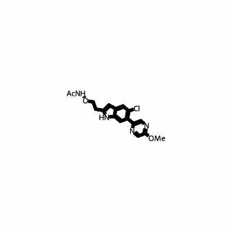 COc1cnc(-c2cc3[nH]c(CCONC(C)=O)cc3cc2Cl)cn1